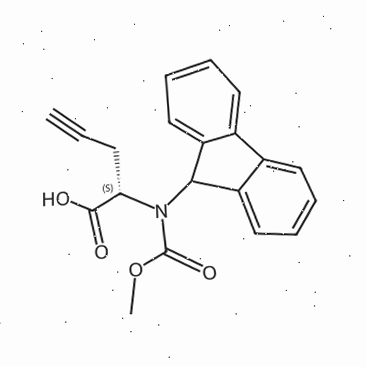 C#CC[C@@H](C(=O)O)N(C(=O)OC)C1c2ccccc2-c2ccccc21